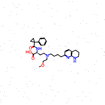 COCCN(CCCCc1ccc2c(n1)NCCC2)CC[C@H](NC(=O)C1(c2ccccc2)CC1)C(=O)O